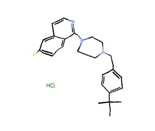 CC(C)(C)c1ccc(CN2CCN(c3nccc4cc(F)ccc34)CC2)cc1.Cl